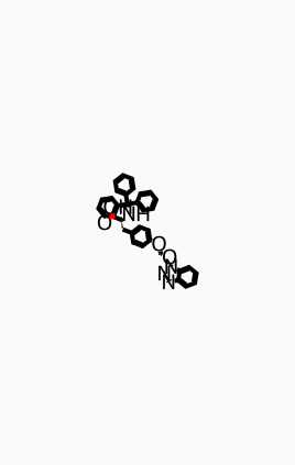 O=C(O)[C@@H](Cc1ccc(OCOn2nnc3ccccc32)cc1)NC(c1ccccc1)(c1ccccc1)c1ccccc1